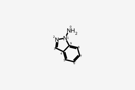 Nn1ncc2c[c]ccc21